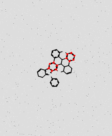 C1=CCC(C2CC=CC3OC4=C(C=CCC4)C(C4c5ccccc5Oc5cccc(-c6ccc7c(c6)c6c(n7-c7ccccc7)CCC=C6)c54)C32)C=C1